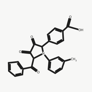 Cc1cccc(N2C(C(=O)c3ccccc3)C(=O)C(=O)C2c2ccc(C(=O)O)cc2)c1